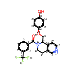 O=C(c1cccc(C(F)(F)F)c1)N1CCc2cnccc2C1COc1ccc(O)cc1